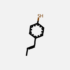 C/C=C/c1ccc(S)cc1